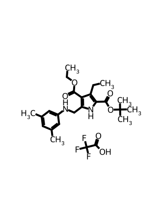 CCOC(=O)c1c(CNc2cc(C)cc(C)c2)[nH]c(C(=O)OC(C)(C)C)c1CC.O=C(O)C(F)(F)F